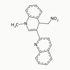 CN1C=C(c2ccc3ccccc3n2)C(C[N+](=O)[O-])c2ccccc21